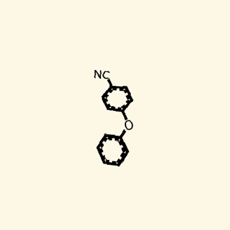 N#Cc1ccc(Oc2ccccc2)cc1